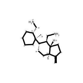 C=C1CC[C@H]2[C@H](CN)[C@@H]([C@@]3(C)CCCC[C@@H]3CN)CC[C@]12C